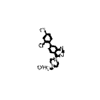 O=CCN1CCN(c2ncnc3cc(-c4ccc(Cl)cc4Cl)ccc23)CC1